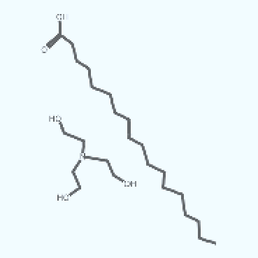 CCCCCCCCCCCCCCCCCC(=O)O.OCCN(CCO)CCO